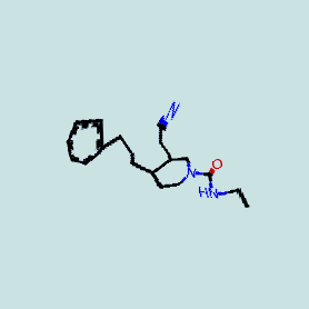 CCNC(=O)N1CCC(CCc2ccccc2)C(CC#N)C1